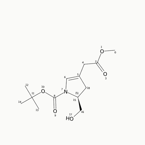 COC(=O)CC1=CN(C(=O)OC(C)(C)C)[C@H](CO)C1